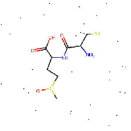 C[S+]([O-])CCC(NC(=O)C(N)CS)C(=O)O